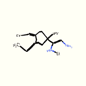 C/C=C1/CC(/C(=C/N)NCC)(C(C)C)C/C1=C/CC